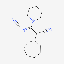 N#CN=C(C(C#N)C1CCCCCC1)N1CCCCC1